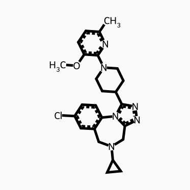 COc1ccc(C)nc1N1CCC(c2nnc3n2-c2ccc(Cl)cc2CN(C2CC2)C3)CC1